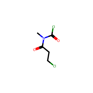 CN(C(=O)Cl)C(=O)CCCl